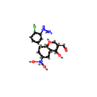 NNc1ccccc1Cl.O=Cc1coc2ccc([N+](=O)[O-])cc2c1=O